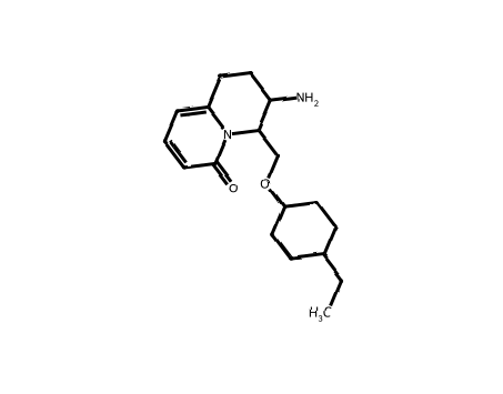 CCC1CCC(OCC2C(N)CCc3cccc(=O)n32)CC1